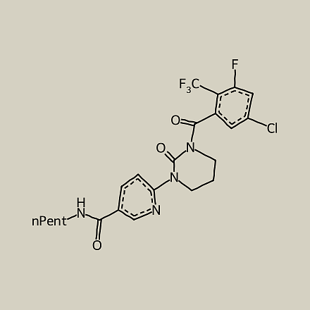 CCCCCNC(=O)c1ccc(N2CCCN(C(=O)c3cc(Cl)cc(F)c3C(F)(F)F)C2=O)nc1